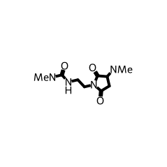 CNC(=O)NCCN1C(=O)CC(NC)C1=O